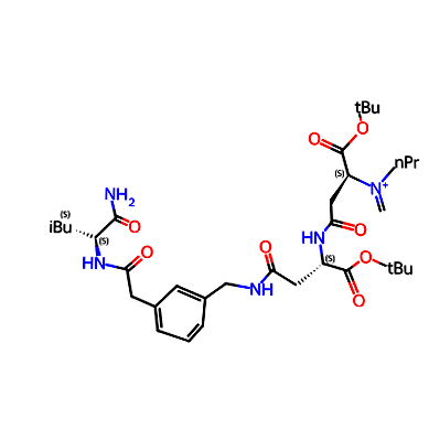 C=[N+](CCC)[C@@H](CC(=O)N[C@@H](CC(=O)NCc1cccc(CC(=O)N[C@H](C(N)=O)[C@@H](C)CC)c1)C(=O)OC(C)(C)C)C(=O)OC(C)(C)C